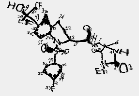 CCN1C(=O)NC(C)(CNC(=O)CC2CCc3cc(C(O)(C(F)(F)F)C(F)(F)F)ccc3N2S(=O)(=O)c2ccc(F)cc2)C1=O